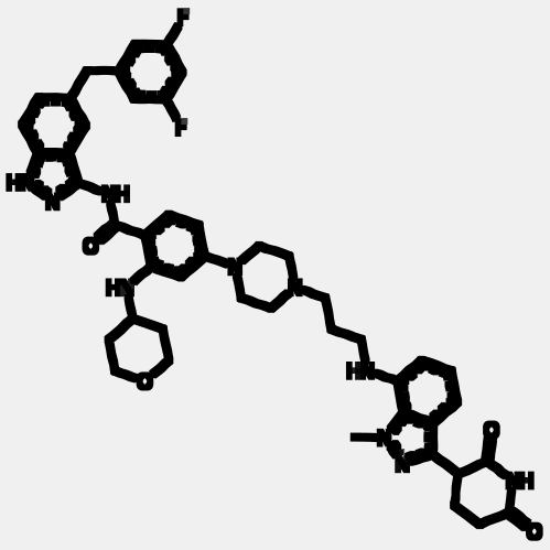 Cn1nc(C2CCC(=O)NC2=O)c2cccc(NCCCN3CCN(c4ccc(C(=O)Nc5n[nH]c6ccc(Cc7cc(F)cc(F)c7)cc56)c(NC5CCOCC5)c4)CC3)c21